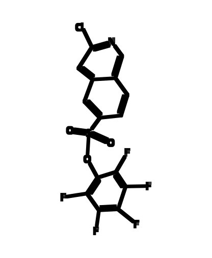 O=S(=O)(Oc1c(F)c(F)c(F)c(F)c1F)c1ccc2cnc(Cl)cc2c1